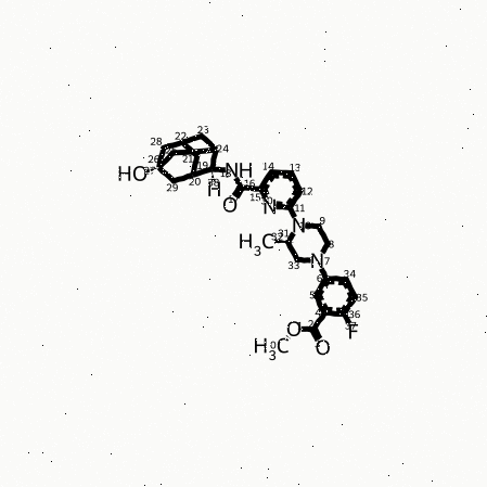 COC(=O)c1cc(N2CCN(c3cccc(C(=O)N[C@H]4C5CC6CC4C[C@](O)(C6)C5)n3)[C@H](C)C2)ccc1F